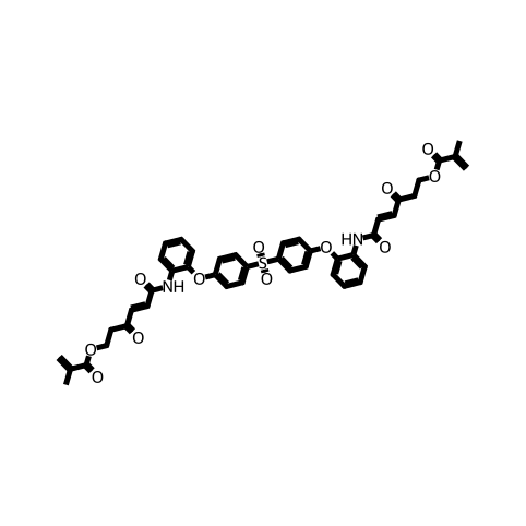 C=C(C)C(=O)OCCC(=O)/C=C/C(=O)Nc1ccccc1Oc1ccc(S(=O)(=O)c2ccc(Oc3ccccc3NC(=O)/C=C/C(=O)CCOC(=O)C(=C)C)cc2)cc1